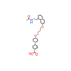 CC(=O)NCCc1cccc2ccc(OCCCCOc3ccc(-c4ccc(C(=O)O)cc4)cc3)cc12